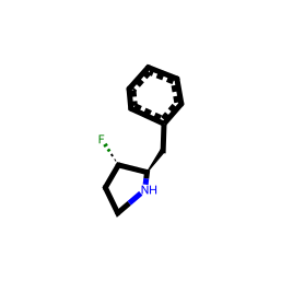 F[C@H]1CCN[C@@H]1Cc1ccccc1